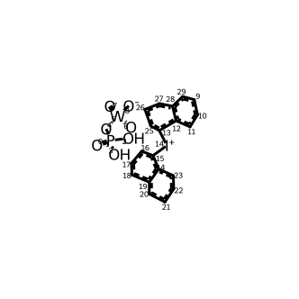 O=P(O)(O)[O][W](=[O])(=[O])[O-].c1ccc2c([I+]c3cccc4ccccc34)cccc2c1